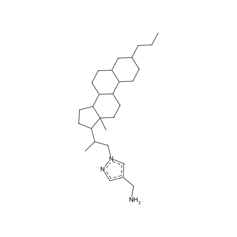 CCCC1CCC2C(CCC3C2CCC2(C)C(C(C)Cn4cc(CN)cn4)CCC32)C1